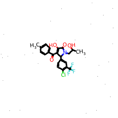 Cc1ccc(C(=O)C2=C(O)C(=O)N(CC(C)O)C2c2ccc(Cl)c(C(F)(F)F)c2)cc1